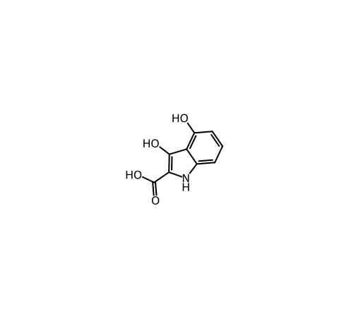 O=C(O)c1[nH]c2cccc(O)c2c1O